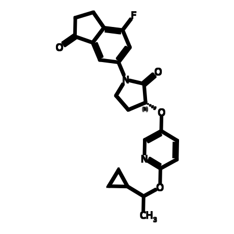 CC(Oc1ccc(O[C@@H]2CCN(c3cc(F)c4c(c3)C(=O)CC4)C2=O)cn1)C1CC1